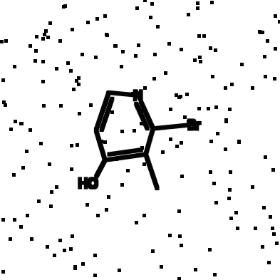 Cc1c(O)ccnc1Br